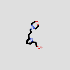 OCCc1cccc(CCCN2CCOCC2)n1